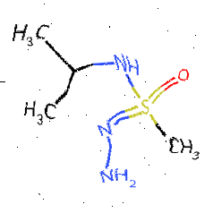 CC(C)NS(C)(=O)=NN